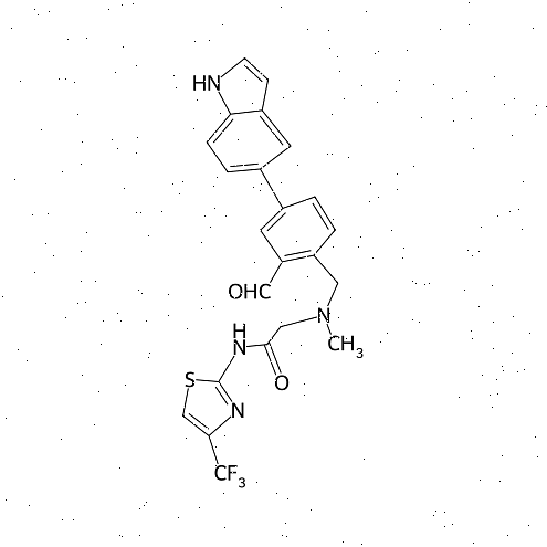 CN(CC(=O)Nc1nc(C(F)(F)F)cs1)Cc1ccc(-c2ccc3[nH]ccc3c2)cc1C=O